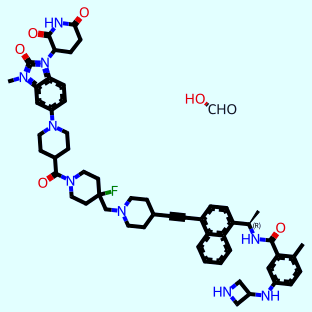 Cc1ccc(NC2CNC2)cc1C(=O)N[C@H](C)c1ccc(C#CC2CCN(CC3(F)CCN(C(=O)C4CCN(c5ccc6c(c5)n(C)c(=O)n6C5CCC(=O)NC5=O)CC4)CC3)CC2)c2ccccc12.O=CO